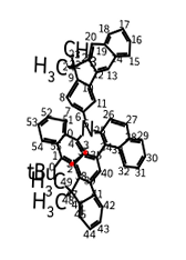 CC(C)(C)c1ccc(N(c2ccc3c(c2)-c2cc4ccccc4cc2C3(C)C)c2ccc3ccccc3c2-c2ccc3c(c2)-c2ccccc2C3(C)C)c2ccccc12